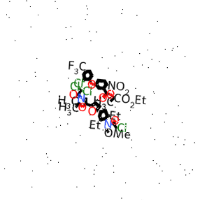 CC1(C)OC(c2ccco2)CN1C(=O)C(Cl)Cl.CCOC(=O)C(C)OC(=O)c1cc(Oc2ccc(C(F)(F)F)cc2Cl)ccc1[N+](=O)[O-].CCc1cccc(CC)c1N(COC)C(=O)CCl